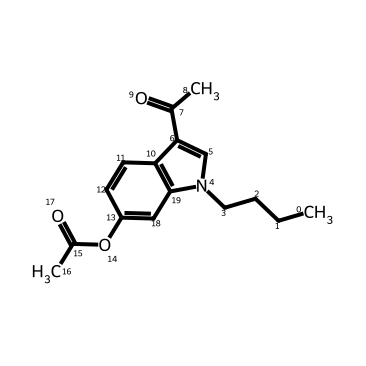 CCCCn1cc(C(C)=O)c2ccc(OC(C)=O)cc21